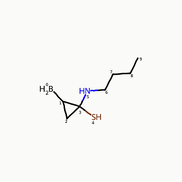 BC1CC1(S)NCCCC